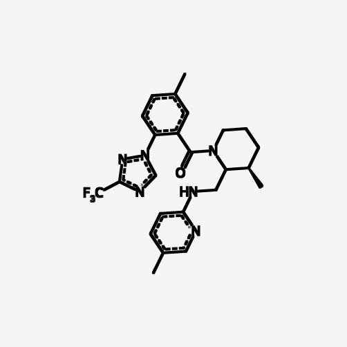 Cc1ccc(NCC2[C@H](C)CCCN2C(=O)c2cc(C)ccc2-n2cnc(C(F)(F)F)n2)nc1